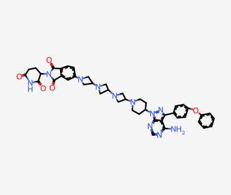 Nc1ncnc2c1c(-c1ccc(Oc3ccccc3)cc1)nn2C1CCN(C2CN(C3CN(C4CN(c5ccc6c(c5)C(=O)N(C5CCC(=O)NC5=O)C6=O)C4)C3)C2)CC1